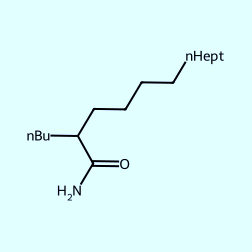 CCCCCCCCCCCC(CCCC)C(N)=O